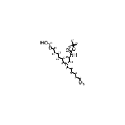 COCCCCCCN(CCCCCCOCO)CCNC(=O)OC(C)(C)C